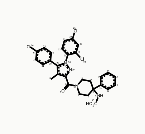 Cc1c(C(=O)N2CCC(NC(=O)O)(c3ccccc3)CC2)nn(-c2ccc(Cl)cc2Cl)c1-c1ccc(Cl)cc1